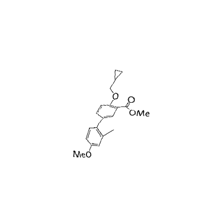 COC(=O)c1cc(-c2ccc(OC)cc2C)ccc1OCC1CC1